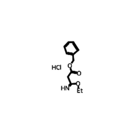 CCOC(=N)CC(=O)OCc1ccccc1.Cl